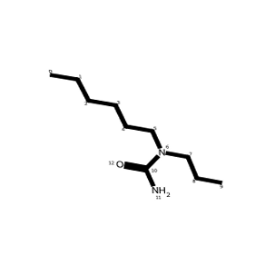 CCCCCCN(CCC)C(N)=O